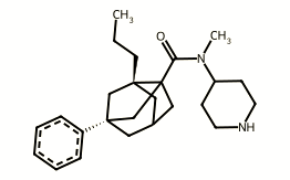 CCC[C@]12CC3CC1(C(=O)N(C)C1CCNCC1)C[C@@](c1ccccc1)(C3)C2